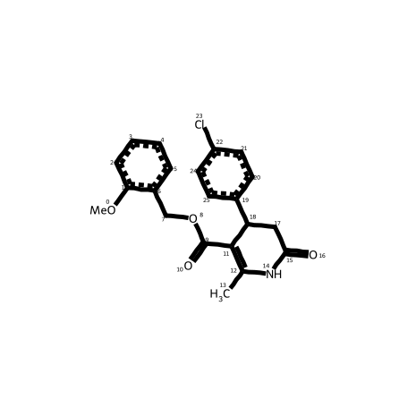 COc1ccccc1COC(=O)C1=C(C)NC(=O)CC1c1ccc(Cl)cc1